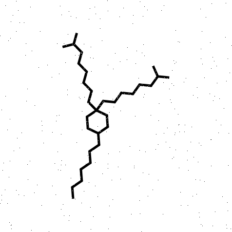 CCCCCCCC1CCC(CCCCCCC(C)C)(CCCCCCC(C)C)CC1